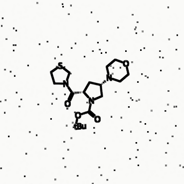 CC(C)(C)OC(=O)N1C[C@@H](N2CCOCC2)C[C@H]1C(=O)N1CCSC1